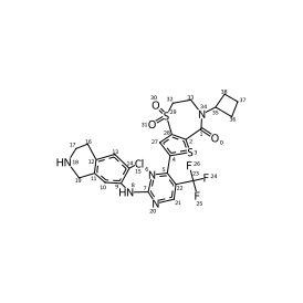 O=C1c2sc(-c3nc(Nc4cc5c(cc4Cl)CCNC5)ncc3C(F)(F)F)cc2S(=O)(=O)CCN1C1CCC1